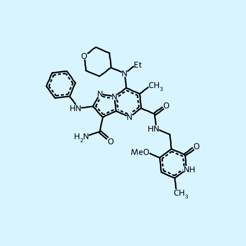 CCN(c1c(C)c(C(=O)NCc2c(OC)cc(C)[nH]c2=O)nc2c(C(N)=O)c(Nc3ccccc3)nn12)C1CCOCC1